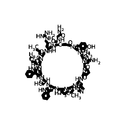 CCCC[C@H]1C(=O)N(C)[C@@H](CCCC)C(=O)NC(CCCNC(=N)N)C(=O)N[C@H](C(=O)NCC(N)=O)C/C=C/C(=O)N[C@@H](Cc2ccc(O)cc2)C(=O)N(C)[C@@H](C)C(=O)N[C@@H](CC(N)=O)C(=O)N2CCC[C@H]2C(=O)N[C@@H](Cc2cnc[nH]2)C(=O)N[C@@H](CC(C)C)C(=O)N2CCCC2C(=O)N[C@@H](Cc2c[nH]c3ccccc23)C(=O)N[C@@H](CO)C(=O)NC(Cc2c[nH]c3ccccc23)C(=O)N1C